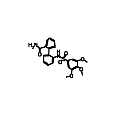 COc1cc(S(=O)(=O)Nc2ccccc2-c2ccccc2C(N)=O)cc(OC)c1OC